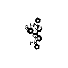 COc1ccc(-c2nn3c(NC4CCCC4)cccc3c2-c2ccnc(NC3CCCC3)n2)cc1